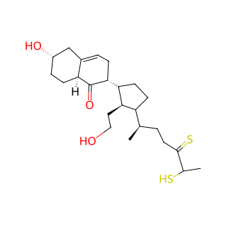 CC(S)C(=S)CC[C@@H](C)C1CCC([C@H]2CC=C3C[C@@H](O)CC[C@@H]3C2=O)[C@@H]1CCO